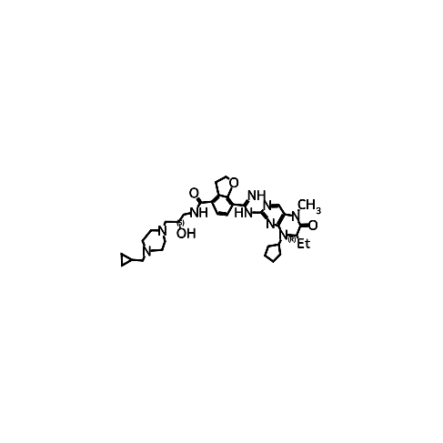 CC[C@@H]1C(=O)N(C)c2cnc(NC(=N)c3ccc(C(=O)NC[C@H](O)CN4CCN(CC5CC5)CC4)c4c3OCC4)nc2N1C1CCCC1